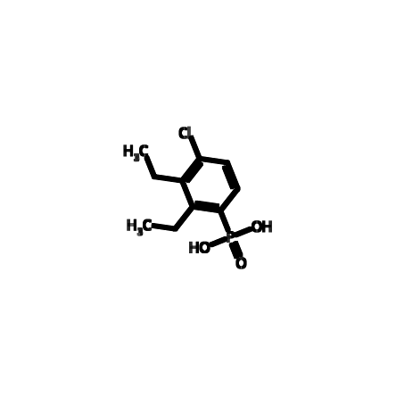 CCc1c(Cl)ccc(P(=O)(O)O)c1CC